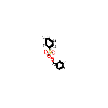 O=S(=O)(OOCc1ccccc1)c1ccccc1